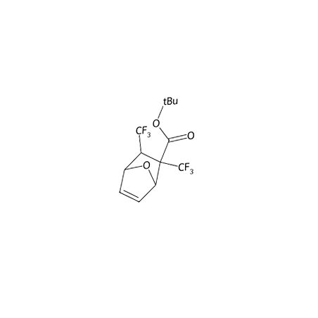 CC(C)(C)OC(=O)C1(C(F)(F)F)C2C=CC(O2)C1C(F)(F)F